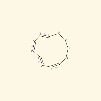 [CH]1C\C=C/C=C/C=C\C=C\CC1